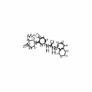 COc1ccc(NC(=O)Nc2cccc3c2CCCC3)cc1N1CCN(C)CC1